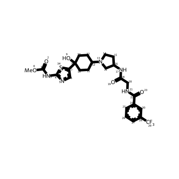 COC(=O)Nc1ncc(C2(O)CCC(N3CCC(NC(=O)CNC(=O)c4cccc(C(F)(F)F)c4)C3)CC2)s1